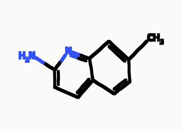 Cc1ccc2ccc(N)nc2c1